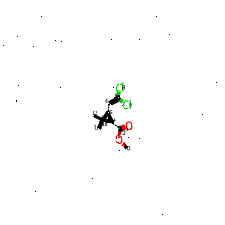 COC(=O)[C@H]1[C@@H](C=C(Cl)Cl)C1(C)C